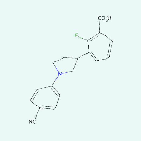 N#Cc1ccc(N2CCC(c3cccc(C(=O)O)c3F)C2)cc1